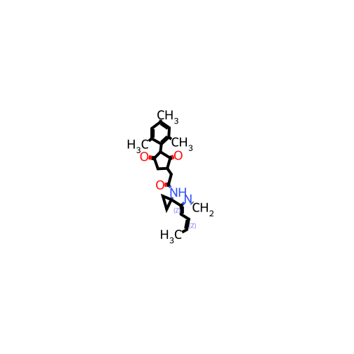 C=N/C(=C\C=C/C)C1(NC(=O)CC2CC(=O)C(c3c(C)cc(C)cc3C)C2=O)CC1